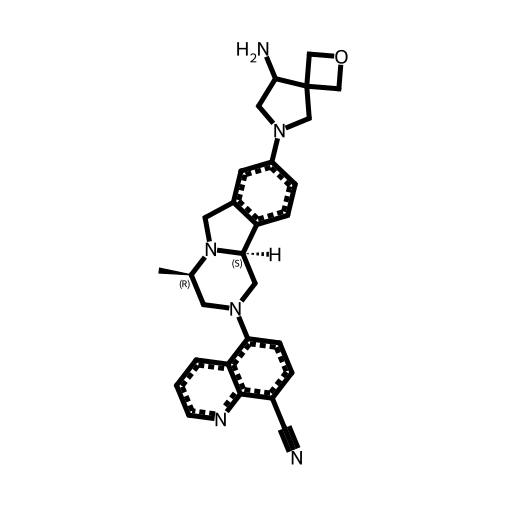 C[C@@H]1CN(c2ccc(C#N)c3ncccc23)C[C@@H]2c3ccc(N4CC(N)C5(COC5)C4)cc3CN12